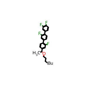 CCC(C)CCCOC(C)c1ccc(-c2ccc(-c3ccc(F)c(F)c3)c(F)c2)c(F)c1